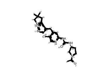 CC(=O)N1CC[C@@H](NC(=O)Nc2cc(Cc3cnn4c3CC(C)(C)C4)c(Cl)cn2)C1